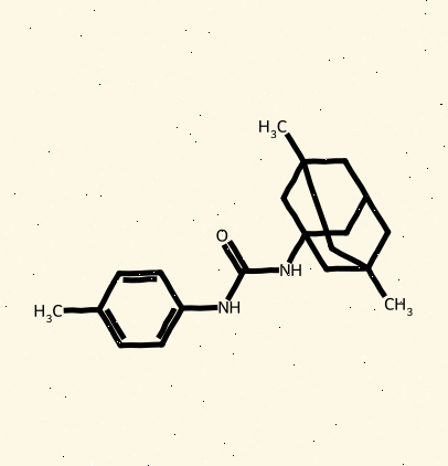 Cc1ccc(NC(=O)NC23CC4CC(C)(CC(C)(C4)C2)C3)cc1